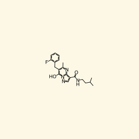 Cc1nc2c(C(=O)NCCC(C)C)cnn2c(O)c1Cc1ccccc1F